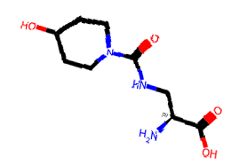 N[C@@H](CNC(=O)N1CCC(O)CC1)C(=O)O